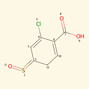 O=S=C1C=C(Cl)C(C(=O)O)=CC1